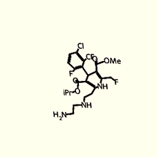 COC(=O)C1=C(CF)NC(CCNCCN)=C(C(=O)OC(C)C)C1c1c(F)ccc(Cl)c1C(F)(F)F